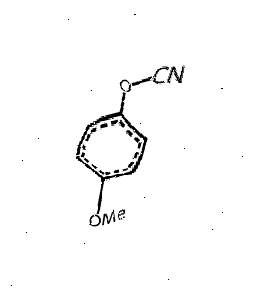 COc1ccc(OC#N)cc1